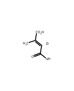 CCCC(=O)C=C(C)C(=O)O.[Zr]